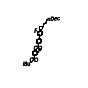 CCCCCCCCCCCCCCOc1ccc(-c2ccc(C(=O)Oc3ccc(C(=O)OC[C@@H](C)CC)cc3F)cc2)cc1F